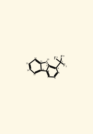 FC(F)(F)c1cccc2c1sc1c[c]ccc12